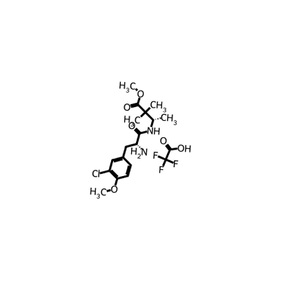 COC(=O)C(C)(C)[C@H](C)NC(=O)[C@H](N)Cc1ccc(OC)c(Cl)c1.O=C(O)C(F)(F)F